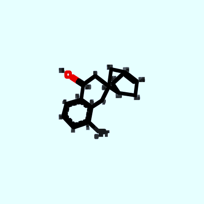 CC(C)c1cccc2c1CC1(CC2=O)CC2=CCC1C2